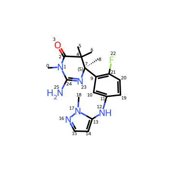 CN1C(=O)C(C)(C)[C@@](C)(c2cc(Nc3ccnn3C)ccc2F)N=C1N